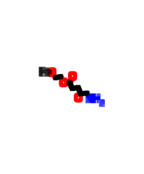 CCOCCOC(=O)CCC(=O)CN